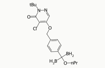 BC(B)(OCCC)c1ccc(COc2cnn(C(C)(C)C)c(=O)c2Cl)cc1